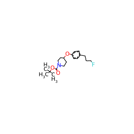 CC(C)(C)OC(=O)N1CCC(Oc2ccc(CCCF)cc2)CC1